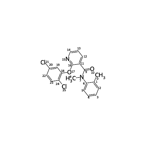 Cc1ccccc1N(C)C(=O)c1cccnc1Oc1cc(Cl)ccc1Cl